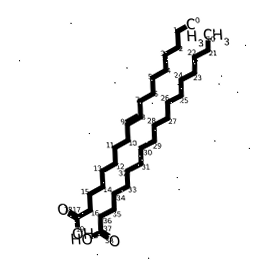 CCCCCCCC/C=C/CCCCCCCC(=O)O.CCCCCCCCCCCCCCCCCC(=O)O